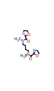 CN(CCCCN(C)C(=O)C1=NCCO1)C(=O)C1=NCCO1